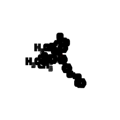 COCCCN1C(=O)COc2ccc(N(C(=O)[C@H]3CN(C(=O)OC(C)(C)C)CC[C@@H]3c3cccc(-c4ccc(OCCOC5CCCCO5)cc4)c3)C3CC3)cc21